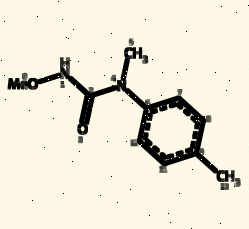 CONC(=O)N(C)c1c[c]c(C)cc1